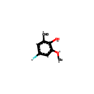 CC(C)(C)Oc1cc(F)cc(C=O)c1O